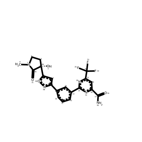 CN1CC[C@@](O)(c2cc(-c3cccc(-c4nc(C(N)=O)cc(C(F)(F)F)n4)c3)no2)C1=O